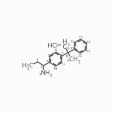 CCC(N)c1ccc(C(C)(C)c2ccccc2)cc1.Cl